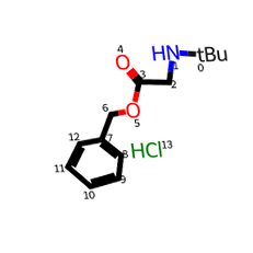 CC(C)(C)NCC(=O)OCc1ccccc1.Cl